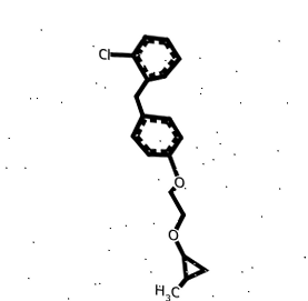 CC1CC1OCCOc1ccc(Cc2ccccc2Cl)cc1